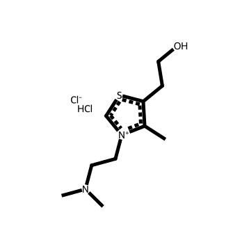 Cc1c(CCO)sc[n+]1CCN(C)C.Cl.[Cl-]